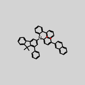 CC1(C)c2ccccc2-c2cc(N(c3ccc(-c4ccc5ccccc5c4)cc3)c3ccccc3-c3ccccc3)cc(-c3ccccc3)c21